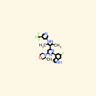 Cc1nn(-c2cncc(C(F)(F)F)c2)c(C)c1-c1cc(N2CCOC[C@H]2C)nc(-c2cc(F)cc3[nH]ccc23)n1